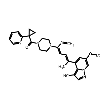 C=N/C(=C\C=C(/C)c1cc(OCC)cn2ncc(C#N)c12)N1CCN(C(=O)C2(c3ccccn3)CC2)CC1